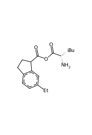 CCc1ccc2c(c1)C(C(=O)OC(=O)[C@@H](N)[C@@H](C)CC)CC2